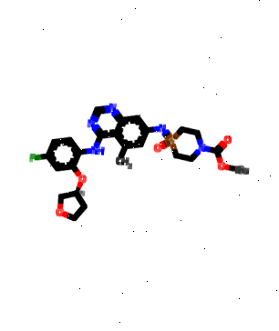 Cc1cc(N=S2(=O)CCN(C(=O)OC(C)(C)C)CC2)cc2ncnc(Nc3ccc(F)cc3O[C@H]3CCOC3)c12